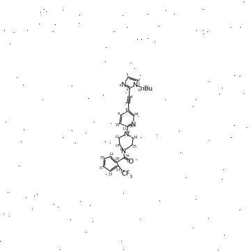 CCCCn1ccnc1C#Cc1ccc(N2CCN(C(=O)c3ccccc3C(F)(F)F)CC2)nc1